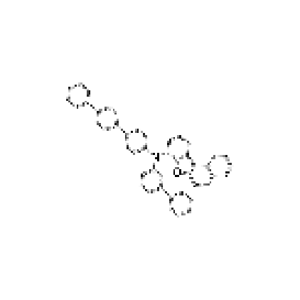 c1ccc(-c2ccc(-c3ccc(N(c4cccc(-c5ccccc5)c4)c4cccc5c4oc4ccc6ccccc6c45)cc3)cc2)cc1